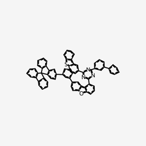 c1ccc(-c2cccc(-c3nc(-c4ccc5sc6ccccc6c5c4)nc(-c4cccc5oc6ccc(-c7cccc(-c8ccc9c(c8)-c8ccccc8C98c9ccccc9-c9ccccc98)c7)cc6c45)n3)c2)cc1